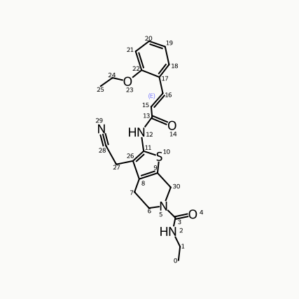 CCNC(=O)N1CCc2c(sc(NC(=O)/C=C/c3ccccc3OCC)c2CC#N)C1